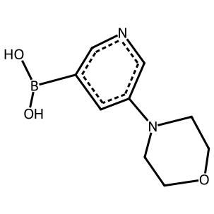 OB(O)c1cncc(N2CCOCC2)c1